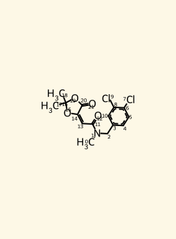 CN(Cc1ccc(Cl)c(Cl)c1)C(=O)/C=C1/OC(C)(C)OC1=O